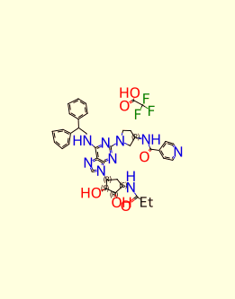 CCC(=O)N[C@H]1C[C@@H](n2cnc3c(NCC(c4ccccc4)c4ccccc4)nc(N4CC[C@@H](NC(=O)c5ccncc5)C4)nc32)[C@H](O)[C@@H]1O.O=C(O)C(F)(F)F